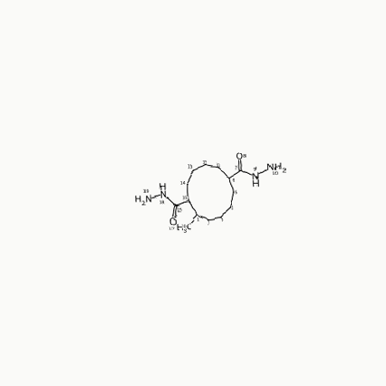 CC1CCCCC(C(=O)NN)CCCCC1C(=O)NN